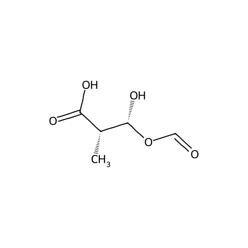 C[C@H](C(=O)O)[C@H](O)OC=O